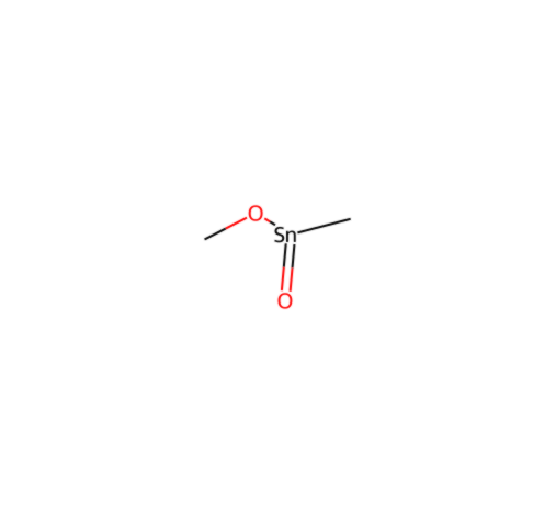 C[O][Sn]([CH3])=[O]